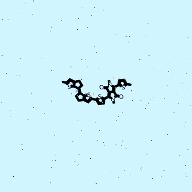 Cc1ccc(C2=C3C(=O)N(C)C(c4ccc(-c5cc6c(s5)/C(=C5\CCc7cc(C)sc75)CC6)s4)=C3C(=O)N2C)s1